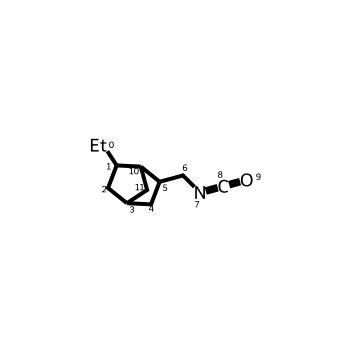 CCC1CC2CC(CN=C=O)C1C2